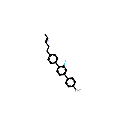 C/C=C/CCc1ccc(-c2ccc(-c3ccc(CCC)cc3)cc2F)cc1